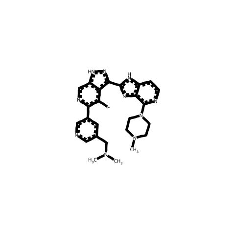 CN(C)Cc1cncc(-c2ncc3[nH]nc(-c4nc5c(N6CCN(C)CC6)nccc5[nH]4)c3c2F)c1